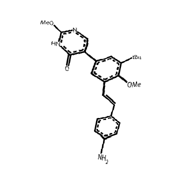 COc1ncc(-c2cc(/C=C/c3ccc(N)cc3)c(OC)c(C(C)(C)C)c2)c(=O)[nH]1